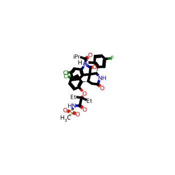 CCC(CC)(Oc1ccc(Cl)cc1[C@H]1CC(=O)N[C@@H](c2cc(F)ccc2C)C12C(=O)N(C(=O)C(C)C)c1cc(Cl)ccc12)C(=O)NS(C)(=O)=O